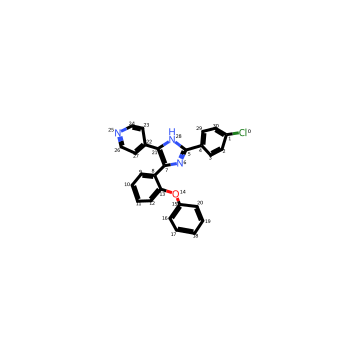 Clc1ccc(-c2nc(-c3ccccc3Oc3ccccc3)c(-c3ccncc3)[nH]2)cc1